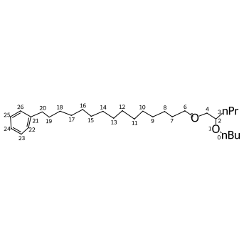 CCCCOC(CCC)COCCCCCCCCCCCCCCCc1ccccc1